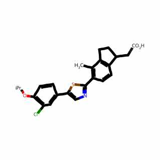 Cc1c(-c2ncc(-c3ccc(OC(C)C)c(Cl)c3)s2)ccc2c1CCC2CC(=O)O